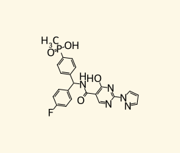 CP(=O)(O)c1ccc(C(NC(=O)c2cnc(-n3cccn3)nc2O)c2ccc(F)cc2)cc1